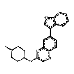 CN1CCC(Oc2cnc3ccc(-c4c[nH]c5ncccc45)cc3n2)CC1